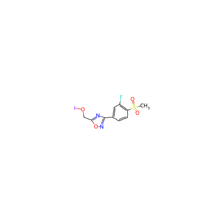 CS(=O)(=O)c1ccc(-c2noc(COI)n2)cc1F